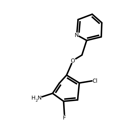 Nc1cc(OCc2ccccn2)c(Cl)cc1F